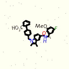 COc1cc(F)cc([C@H](C)NC(=O)c2ccc3c(c2)c(C)c(C)n3Cc2ccc(-c3ccccc3C(=O)O)cc2)c1